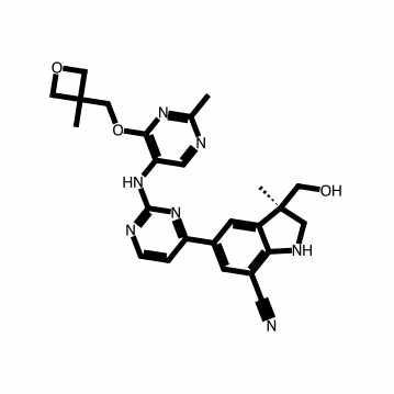 Cc1ncc(Nc2nccc(-c3cc(C#N)c4c(c3)[C@@](C)(CO)CN4)n2)c(OCC2(C)COC2)n1